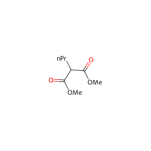 [CH2]CCC(C(=O)OC)C(=O)OC